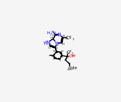 CNCCC(O)(c1ccc(C)c(C2=CNC3C(N)=NC(C(F)(F)F)=CN23)c1)C(F)(F)F